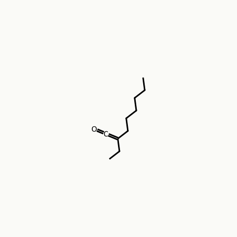 CCCCCCC(=C=O)CC